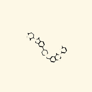 O=C1CCC(N2Cc3cc(C4CCN(Cc5ccc6ncn(-c7cccc(C(F)(F)F)n7)c(=O)c6c5)CC4)ccc3C2=O)C(=O)N1